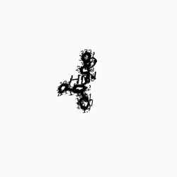 C=NC(NCc1cc(-c2ccccc2)cc(C2CCCCC2)c1)c1ccc2c(c1)oc1ccccc12